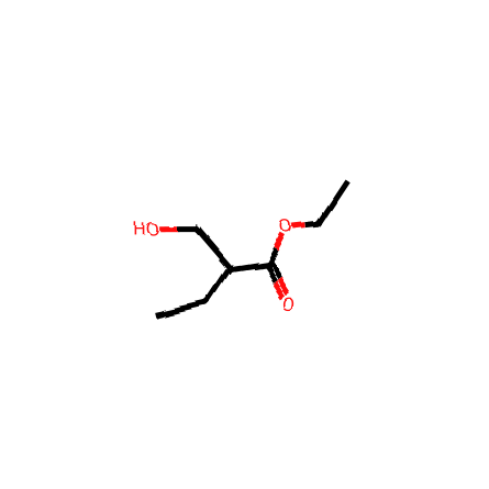 CCOC(=O)C([CH]O)CC